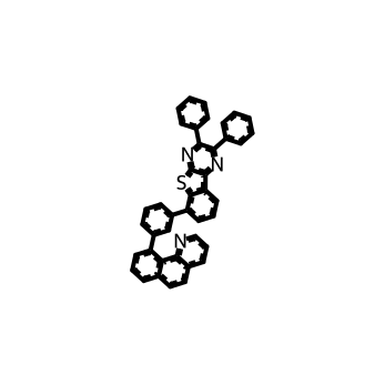 c1ccc(-c2nc3sc4c(-c5cccc(-c6cccc7ccc8cccnc8c67)c5)cccc4c3nc2-c2ccccc2)cc1